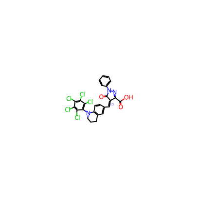 O=C(O)C1=NN(c2ccccc2)C(=O)/C1=C\c1ccc2c(c1)CCCN2c1c(Cl)c(Cl)c(Cl)c(Cl)c1Cl